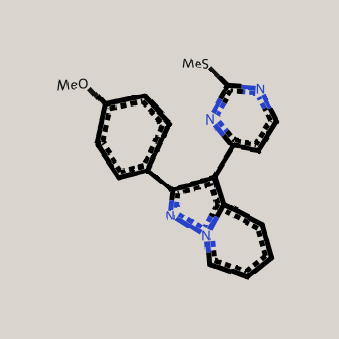 COc1ccc(-c2nn3ccccc3c2-c2ccnc(SC)n2)cc1